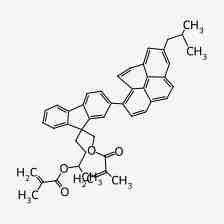 C=C(C)C(=O)OCC1(CCC(C)OC(=O)C(=C)C)c2ccccc2-c2ccc(-c3ccc4ccc5cc(CC(C)C)cc6ccc3c4c56)cc21